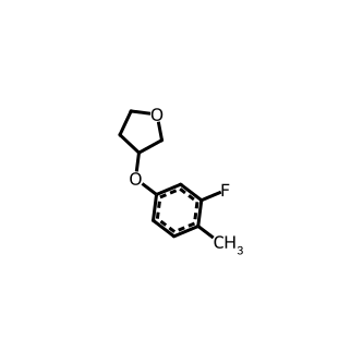 Cc1ccc(OC2CCOC2)cc1F